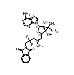 CN(C[C@H]1O[C@@H](n2cnc3c(N)ncnc32)[C@@]2(O)C(C)(C)[C@@]12O)CC(F)(F)CN1C(=O)c2ccccc2C1=O